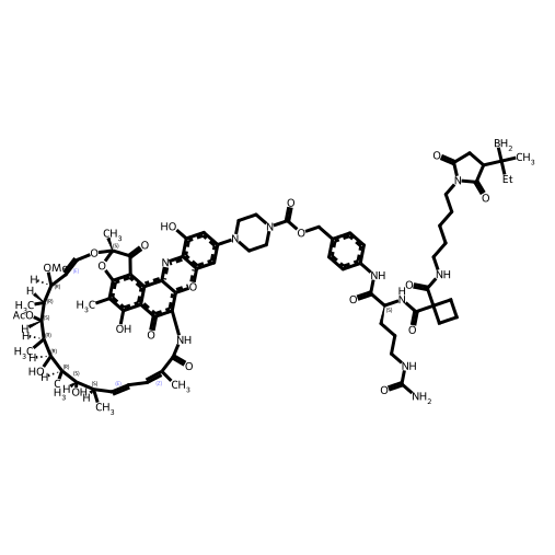 BC(C)(CC)C1CC(=O)N(CCCCCNC(=O)C2(C(=O)N[C@@H](CCCNC(N)=O)C(=O)Nc3ccc(COC(=O)N4CCN(c5cc(O)c6nc7c8c9c%10c(C)c(O)c8c(=O)c(c-7oc6c5)NC(=O)/C(C)=C\C=C\[C@H](C)[C@H](O)[C@@H](C)[C@@H](O)[C@@H](C)[C@H](OC(C)=O)[C@H](C)[C@@H](OC)/C=C/O[C@@](C)(O%10)C9=O)CC4)cc3)CCC2)C1=O